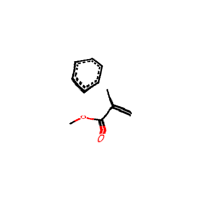 C=C(C)C(=O)OC.c1ccccc1